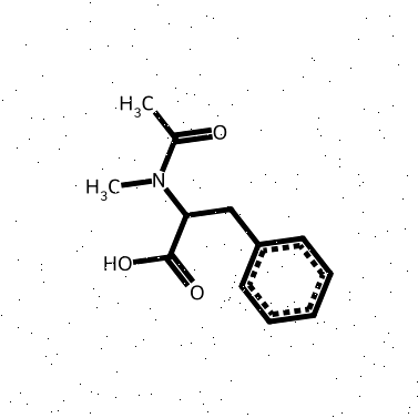 CC(=O)N(C)C(Cc1ccccc1)C(=O)O